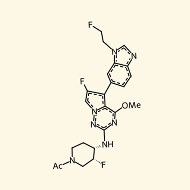 COc1nc(N[C@H]2CCN(C(C)=O)C[C@H]2F)nn2cc(F)c(-c3ccc4ncn(CCF)c4c3)c12